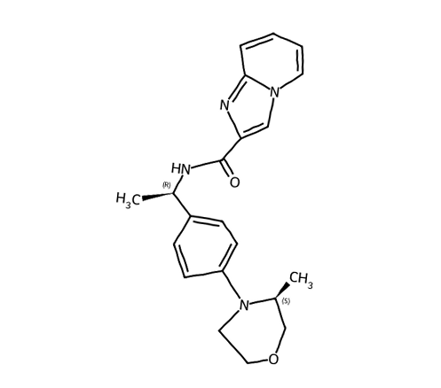 C[C@@H](NC(=O)c1cn2ccccc2n1)c1ccc(N2CCOC[C@@H]2C)cc1